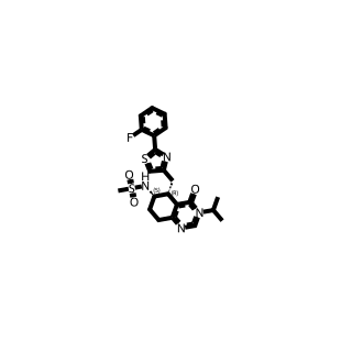 CC(C)n1cnc2c(c1=O)[C@@H](Cc1csc(-c3ccccc3F)n1)[C@@H](NS(C)(=O)=O)CC2